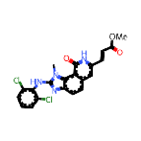 COC(=O)/C=C/c1cc2ccc3nc(Nc4c(Cl)cccc4Cl)n(C)c3c2c(=O)[nH]1